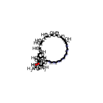 C[C@@H]1[C@H](O)[C@@H](C)/C=C/C=C/C=C/C=C/C=C/C=C/C=C/[C@H](O[C@@H]2O[C@H](C)[C@@H](O)[C@H](N)[C@@H]2O)C[C@@H]2O[C@](O)(C[C@@H](O)C[C@@H](O)[C@H](O)CC[C@@H](O)C[C@@H](O)CC(=O)O[C@H]1C)C[C@H](O)[C@H]2NC(=O)NNC(N)=O